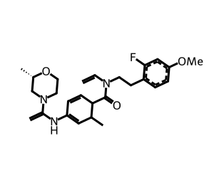 C=CN(CCc1ccc(OC)cc1F)C(=O)C1C=CC(NC(=C)N2CCO[C@@H](C)C2)=CC1C